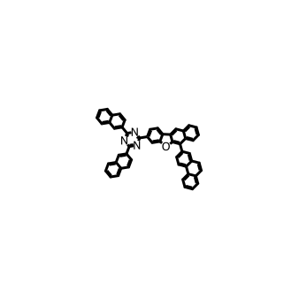 c1ccc2cc(-c3nc(-c4ccc5ccccc5c4)nc(-c4ccc5c(c4)oc4c(-c6ccc7c(ccc8ccccc87)c6)c6ccccc6cc45)n3)ccc2c1